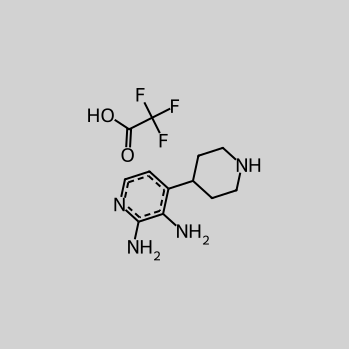 Nc1nccc(C2CCNCC2)c1N.O=C(O)C(F)(F)F